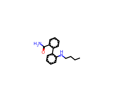 CCCCNc1ccccc1-c1ccccc1C(N)=O